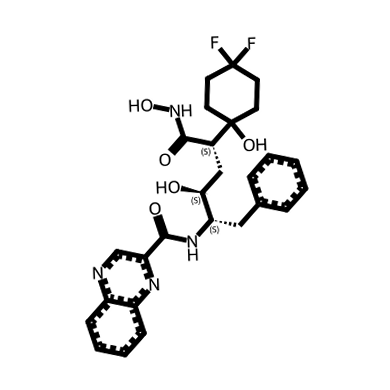 O=C(N[C@@H](Cc1ccccc1)[C@@H](O)C[C@H](C(=O)NO)C1(O)CCC(F)(F)CC1)c1cnc2ccccc2n1